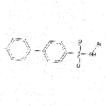 CCNS(=O)(=O)c1ccc(-c2cc[c]cc2)cc1